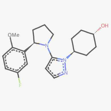 COc1ccc(F)cc1[C@H]1CCCN1c1ccnn1[C@H]1CC[C@H](O)CC1